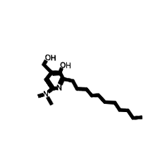 CCCCCCCCCCCc1nc(N(C)C)cc(CO)c1O